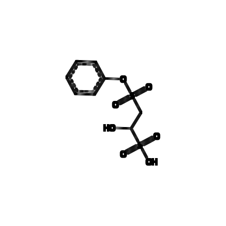 O=S(=O)(CC(O)S(=O)(=O)O)Oc1ccccc1